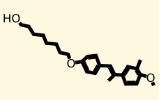 COc1ccc(/C(C)=C/c2ccc(OCCCCCCCCO)cc2)cc1C